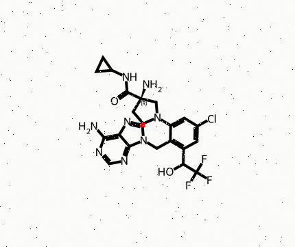 Nc1ncnc2c1ncn2Cc1c(C(O)C(F)(F)F)cc(Cl)cc1N1CC[C@](N)(C(=O)NC2CC2)C1